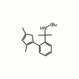 CC1=CC(C)=C(c2ccccc2C(C)(C)NC(C)(C)C)C1